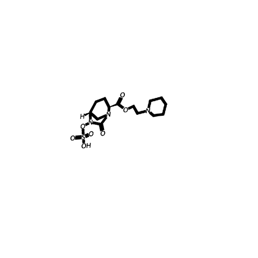 O=C(OCCN1CCCCC1)[C@@H]1CC[C@@H]2CN1C(=O)N2OS(=O)(=O)O